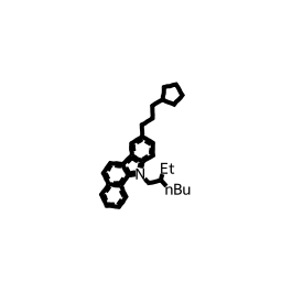 CCCCC(CC)Cn1c2ccc(CCCC3CCCC3)cc2c2ccc3ccccc3c21